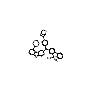 CC1(C)c2ccccc2-c2ccc(N(c3ccc(C4CC5CCC4C5)cc3)c3ccc4oc5cccc(C6CCCCC6)c5c4c3)cc21